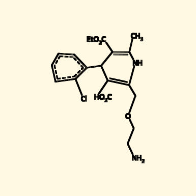 CCOC(=O)C1=C(C)NC(COCCN)=C(C(=O)O)C1c1ccccc1Cl